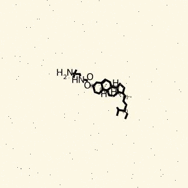 CC[C@H](CC[C@@H](C)C1CC[C@H]2[C@@H]3CC=C4C[C@@H](OC(=O)NCC(C)(C)N)CC[C@]4(C)[C@H]3CC[C@]12C)C(C)C